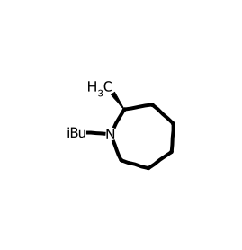 CCC(C)N1CCCCC[C@@H]1C